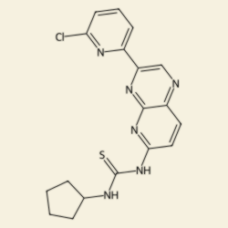 S=C(Nc1ccc2ncc(-c3cccc(Cl)n3)nc2n1)NC1CCCC1